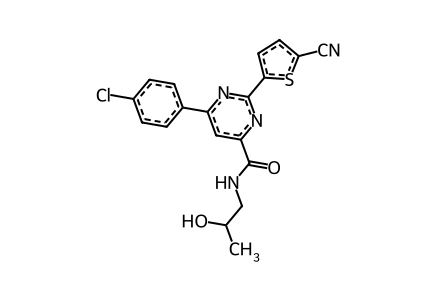 CC(O)CNC(=O)c1cc(-c2ccc(Cl)cc2)nc(-c2ccc(C#N)s2)n1